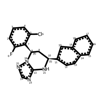 Fc1cccc(Cl)c1[C@H]1C[C@@H](c2ccc3ccccc3c2)Nc2ncnn21